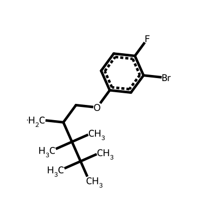 [CH2]C(COc1ccc(F)c(Br)c1)C(C)(C)C(C)(C)C